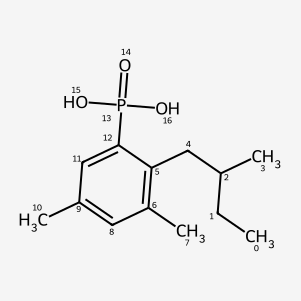 CCC(C)Cc1c(C)cc(C)cc1P(=O)(O)O